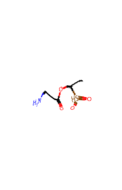 CC(OC(=O)CN)[SH](=O)=O